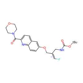 CC(C)(C)OC(=O)NC/C(=C\F)COc1ccc2nc(C(=O)N3CCOCC3)ccc2c1